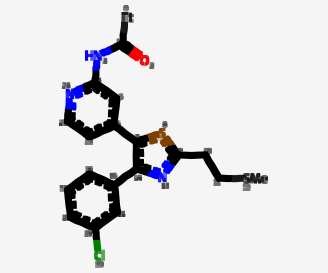 CCC(=O)Nc1cc(-c2sc(CCSC)nc2-c2cccc(Cl)c2)ccn1